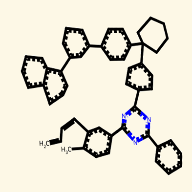 C=C/C=C\c1cc(-c2nc(-c3ccccc3)nc(-c3ccc(C4(c5ccc(-c6cccc(-c7cccc8ccccc78)c6)cc5)CCCCC4)cc3)n2)ccc1C